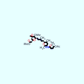 COC(=O)C[C@@H]1C[C@@]2(CO2)[C@H](OC)[C@@H](/C=C/C(C)=C/C[C@@H]2O[C@H](C)[C@H](NC(=O)/C=C\[C@H](C)OC(C)=O)C[C@@H]2C)O1